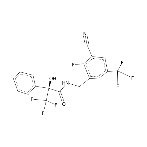 N#Cc1cc(C(F)(F)F)cc(CNC(=O)[C@@](O)(c2ccccc2)C(F)(F)F)c1F